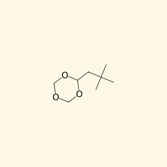 CC(C)(C)CC1OCOCO1